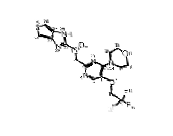 [O-][S+](Cc1ncc(OCC(F)(F)F)c(N2CCOCC2)n1)c1nc2cscc2[nH]1